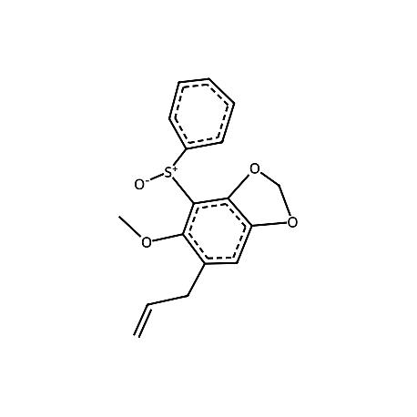 C=CCc1cc2c(c([S+]([O-])c3ccccc3)c1OC)OCO2